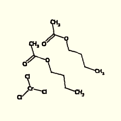 CCCCOC(C)=O.CCCCOC(C)=O.[Cl][Cr]([Cl])[Cl]